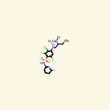 CCN(C)C(CNc1cc(F)c(S(=O)(=O)Nc2cccc(F)n2)c(F)c1Cl)CC(C)(C)C